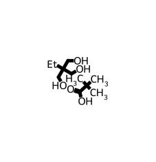 CC(C)(C)C(=O)O.CCC(CO)(CO)CO